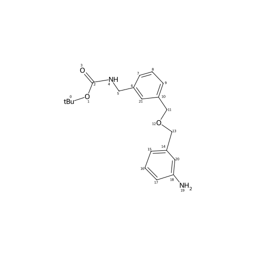 CC(C)(C)OC(=O)NCc1cccc(COCc2cccc(N)c2)c1